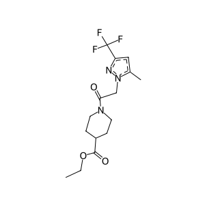 CCOC(=O)C1CCN(C(=O)Cn2nc(C(F)(F)F)cc2C)CC1